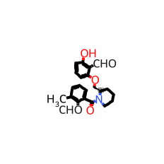 Cc1cccc(C(=O)N2CCCC[C@@H]2COc2cccc(O)c2C=O)c1C=O